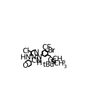 CC(C)(C)[Si](C)(C)OCc1cc(Nc2ncc(Cl)c(N[C@@H]3COCC[C@H]3C#N)n2)cc(C(F)(F)F)c1Br